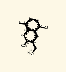 Cc1ccc(Cl)c2cc(CO)c(Cl)nc12